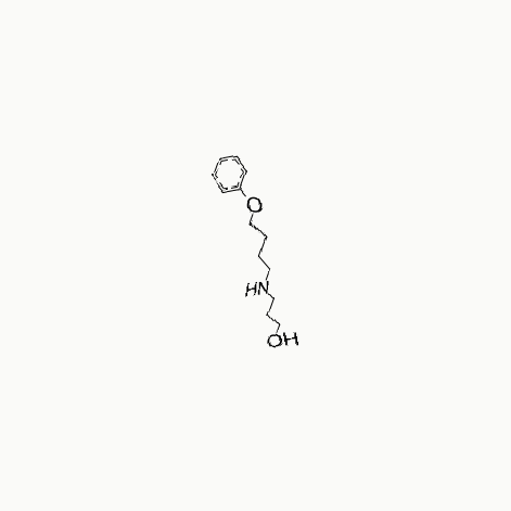 OCCCNCCCCOc1ccccc1